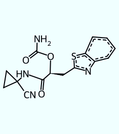 N#CC1(NC(=O)[C@H](Cc2nc3ccccc3s2)OC(N)=O)CC1